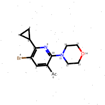 CC(=O)c1cc(Br)c(C2CC2)nc1N1CCOCC1